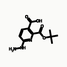 CC(C)(C)OC(=O)c1nc(NN)ccc1C(=O)O